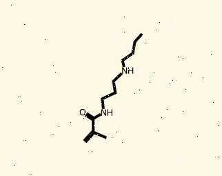 C=C(C)C(=O)NCCCNCCCC